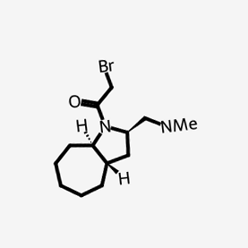 CNC[C@H]1C[C@@H]2CCCCC[C@H]2N1C(=O)CBr